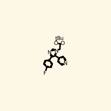 CC(C)(C)OC(=O)Cn1cnc(-c2ccc(F)cc2)c1-c1ccncc1